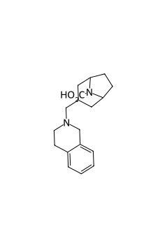 O=C(O)N1C2CCC1CC(CN1CCc3ccccc3C1)C2